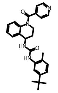 Cc1ccc(C(C)(C)C)cc1NC(=O)NC1CCN(C(=O)c2ccncc2)c2ccccc21